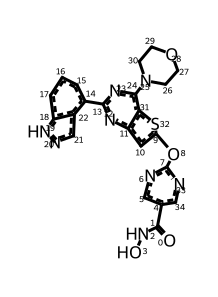 O=C(NO)c1cnc(Oc2cc3nc(-c4cccc5[nH]ncc45)nc(N4CCOCC4)c3s2)nc1